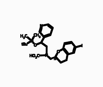 CC(C)(C)[Si](C)(C)OC(CN(C[C@@H]1CCc2cc(I)ccc2O1)C(=O)O)c1cccnc1